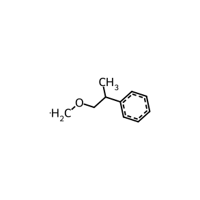 [CH2]OCC(C)c1ccccc1